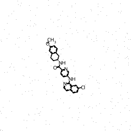 COc1ccc2c(c1)CC[C@@H](NC(=O)c1ccc(Nc3nccc4ccc(Cl)cc34)cn1)C2